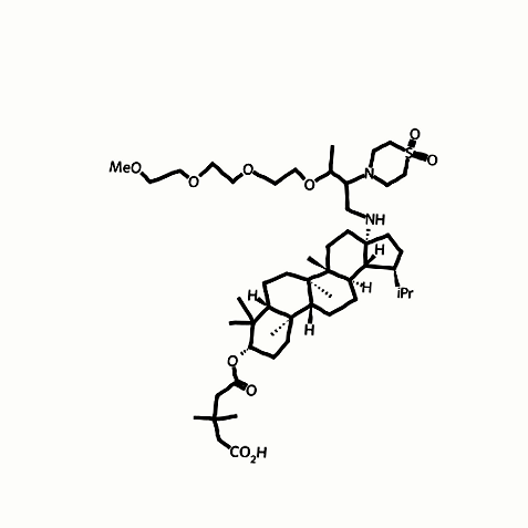 COCCOCCOCCOC(C)C(CN[C@]12CC[C@@H](C(C)C)[C@@H]1[C@H]1CC[C@@H]3[C@@]4(C)CC[C@H](OC(=O)CC(C)(C)CC(=O)O)C(C)(C)[C@@H]4CC[C@@]3(C)[C@]1(C)CC2)N1CCS(=O)(=O)CC1